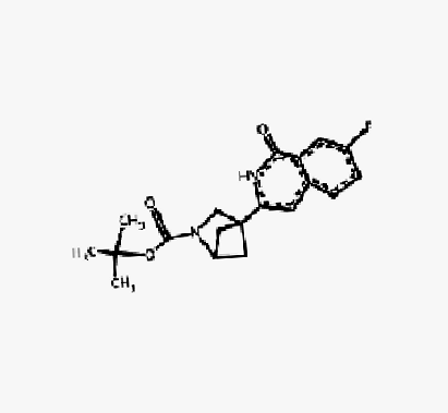 CC(C)(C)OC(=O)N1CC2(c3cc4ccc(F)cc4c(=O)[nH]3)CC1C2